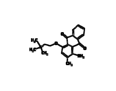 Cc1cc(OCC[N+](C)(C)C)c2c(c1N)C(=O)c1ccccc1C2=O